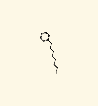 IC=CCCCCCc1ccccc1